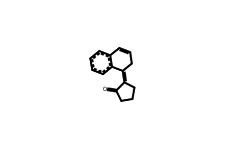 O=C1CCCC1=C1CC=Cc2ccccc21